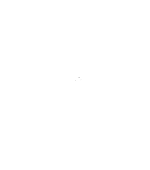 CCCCCCCCCCCCCCCCCCCCC[CH]OCCCCCCCCCCCCCCCC